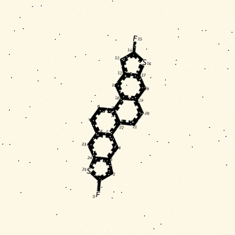 Fc1cc2cc3c(ccc4c5cc6cc(F)sc6cc5ccc34)cc2s1